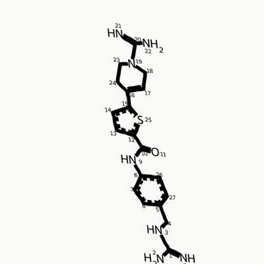 N=C(N)NCc1ccc(NC(=O)c2ccc(C3=CCN(C(=N)N)CC3)s2)cc1